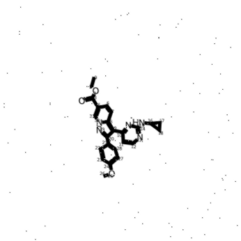 CCOC(=O)c1ccc2c(-c3ccnc(NC4CC4)n3)c(-c3ccc(OC)cc3)nn2c1